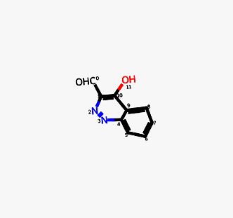 O=Cc1nnc2ccccc2c1O